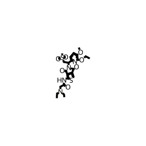 CCOc1nc(C(CS(C)(=O)=O)N2C(=O)c3csc(NC(=O)CN(CC)CC)c3C2=O)ccc1OC